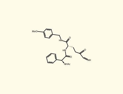 COc1ccc(CNC(=O)[C@H](CCC(=O)C=N)NC(=O)[C@@H](NC(C)=O)c2ccccc2)cc1